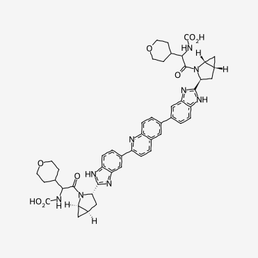 O=C(O)NC(C(=O)N1[C@@H]2C[C@@H]2C[C@H]1c1nc2cc(-c3ccc4nc(-c5ccc6[nH]c([C@@H]7C[C@H]8C[C@H]8N7C(=O)C(NC(=O)O)C7CCOCC7)nc6c5)ccc4c3)ccc2[nH]1)C1CCOCC1